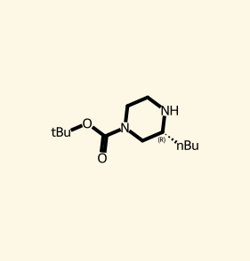 CCCC[C@@H]1CN(C(=O)OC(C)(C)C)CCN1